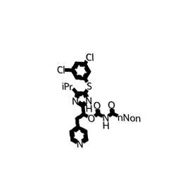 CCCCCCCCCC(=O)NC(=O)OC(Cc1ccncc1)c1nc(C(C)C)c(Sc2cc(Cl)cc(Cl)c2)[nH]1